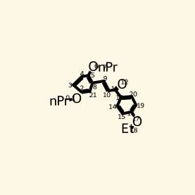 CCCOc1ccc(OCCC)c(C=CC(=O)c2ccc(OCC)cc2)c1